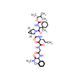 CCC[C@H](NC(=O)[C@@H]1[C@H]2C[C@H]2CN1C(=O)[C@@H](NC(=O)O[C@H](C)C(C)C)C1(C)CCCCC1)C(=O)C(=O)NCC(=O)NC(C(=O)N(C)C)c1ccccc1